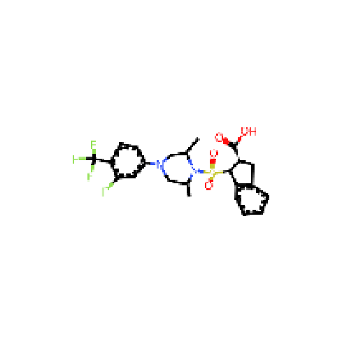 CC1CN(c2ccc(C(F)(F)F)c(F)c2)CC(C)N1S(=O)(=O)[C@@H]1c2ccccc2C[C@@H]1C(=O)O